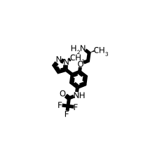 C[C@@H](N)COc1ccc(NC(=O)C(F)(F)F)cc1-c1ccnn1C